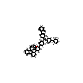 c1ccc(-c2ccc(N(c3ccc(-c4ccc(-c5cccc6c5C5(c7ccccc7-6)C6CC7CC(C6)CC5C7)cc4)cc3)c3ccc4c(c3)sc3ccccc34)cc2)cc1